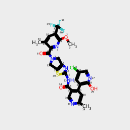 COc1nc(C(=O)N2Cc3nc(NC(=O)c4cnc(C)cc4-c4cc(Cl)cnc4O)sc3C2)c(C)cc1C(F)(F)F